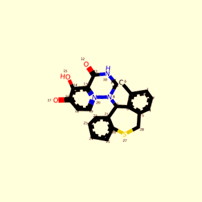 Cc1cccc2c1C(N1CNC(=O)c3c(O)c(=O)ccn31)c1ccccc1SC2